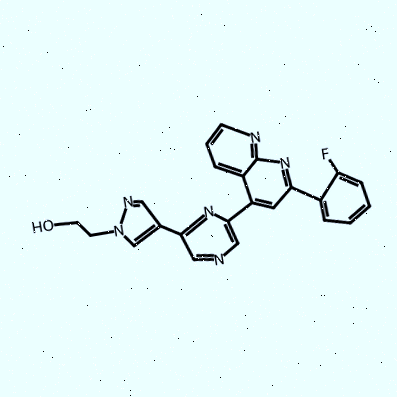 OCCn1cc(-c2cncc(-c3cc(-c4ccccc4F)nc4ncccc34)n2)cn1